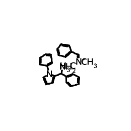 C[N+](C)=Cc1ccccc1.NC(c1ccccc1)c1cccn1-c1ccccc1